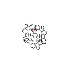 N#Cc1cc(-n2c3ccccc3c3ccc4oc5ccccc5c4c32)c(C#N)c(-n2c3ccccc3c3ccc4oc5ccccc5c4c32)c1-n1c2ccccc2c2ccc3oc4ccccc4c3c21